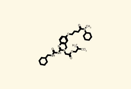 CC(COC(=O)CN1Cc2cc(OCCCC(=O)N(C)C3CCCCC3)ccc2N=C1NC(=O)NCC1CCCCC1)C(Cl)(Cl)Cl